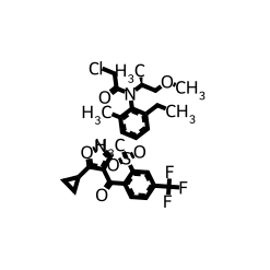 CCc1cccc(C)c1N(C(=O)CCl)[C@@H](C)COC.CS(=O)(=O)c1cc(C(F)(F)F)ccc1C(=O)c1cnoc1C1CC1